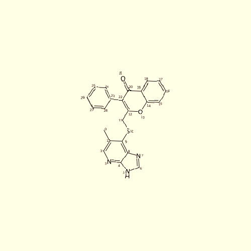 Cc1cnc2[nH]cnc2c1SCc1oc2ccccc2c(=O)c1-c1ccccc1